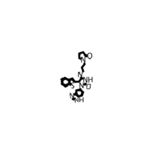 O=C1CCCN1CCCN=C1NC(=O)N(c2ccc3[nH]cnc3c2)C1c1cc2ccccc2s1